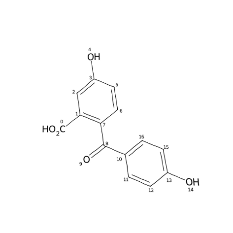 O=C(O)c1cc(O)ccc1C(=O)c1ccc(O)cc1